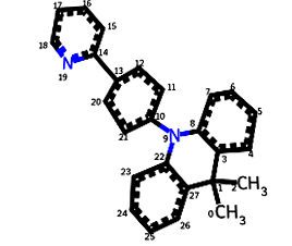 CC1(C)c2ccccc2N(c2ccc(-c3ccccn3)cc2)c2ccccc21